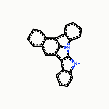 c1ccc2c(c1)cc1c3c4ccccc4[nH]c3n3c4ccccc4c2c13